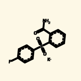 NC(=O)c1ccccc1S(=O)(=O)c1ccc(F)cc1.[K]